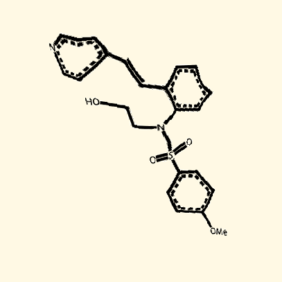 COc1ccc(S(=O)(=O)N(CCO)c2ccccc2C=Cc2ccncc2)cc1